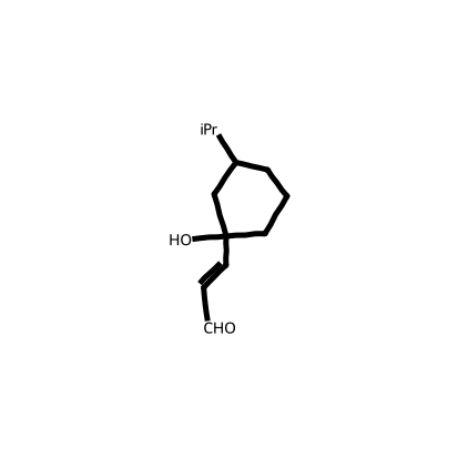 CC(C)C1CCCC(O)(C=CC=O)C1